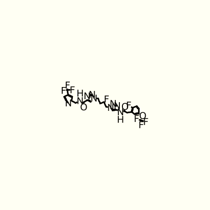 O=C(Cc1cc(OC(F)(F)F)ccc1F)Nc1cn(CC(F)CCn2cc(C(=O)NCc3cc(C(F)(F)F)ccn3)nn2)nn1